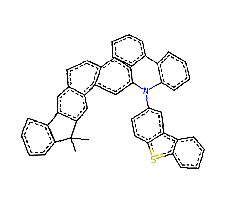 CC1(C)c2ccccc2-c2cc3ccc4ccc(N(c5ccc6sc7ccccc7c6c5)c5ccccc5-c5ccccc5)cc4c3cc21